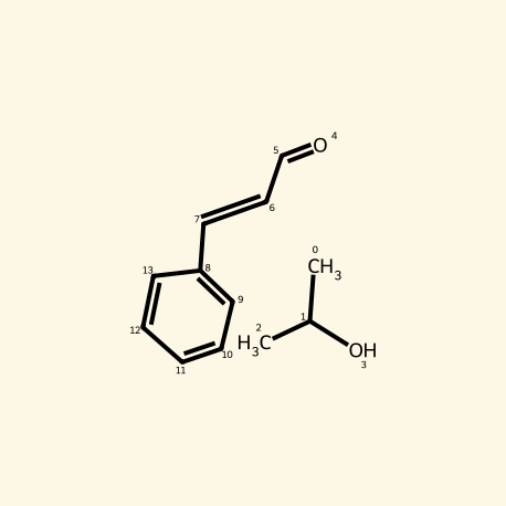 CC(C)O.O=CC=Cc1ccccc1